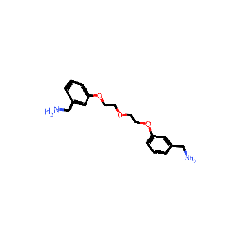 NCc1cccc(OCCOCCOc2cccc(CN)c2)c1